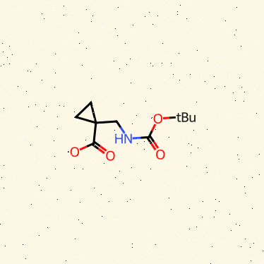 CC(C)(C)OC(=O)NCC1(C([O])=O)CC1